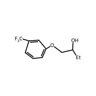 [CH2]CC(O)COc1cccc(C(F)(F)F)c1